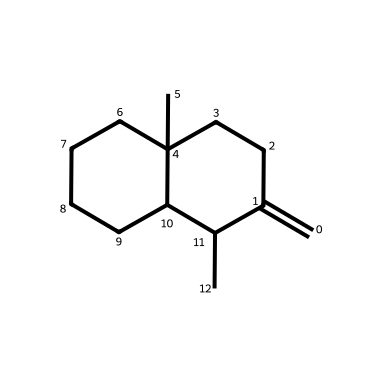 C=C1CCC2(C)CCCCC2C1C